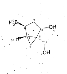 B[C@H]1C[C@H](O)[C@@]2(CO)C[C@H]12